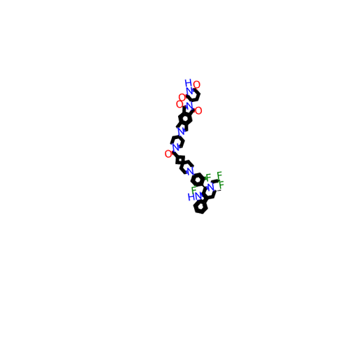 C[C@@H]1Cc2c([nH]c3ccccc23)[C@@H](c2c(F)cc(N3CCC4(CC3)CC(C(=O)N3CCC(N5Cc6cc7c(cc6C5)C(=O)N(C5CCC(=O)NC5=O)C7=O)CC3)C4)cc2F)N1CC(F)F